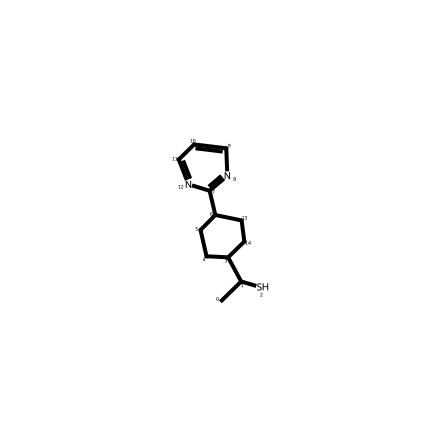 CC(S)C1CCC(c2ncccn2)CC1